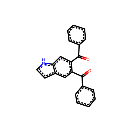 O=C(c1ccccc1)c1cc2cc[nH]c2cc1C(=O)c1ccccc1